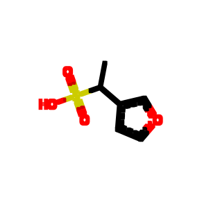 CC(c1ccoc1)S(=O)(=O)O